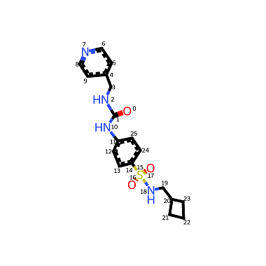 O=C(NCc1ccncc1)Nc1ccc(S(=O)(=O)NCC2CCC2)cc1